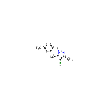 Cc1nn(Cc2ccc(C(F)(F)F)cc2)c(C)c1Br